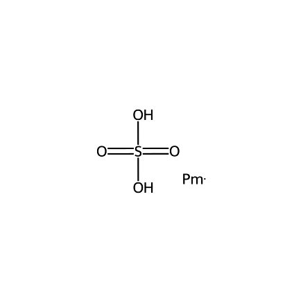 O=S(=O)(O)O.[Pm]